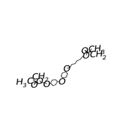 C=C(C)C(=O)OCCCCCCOC1CCC(OC2CCC(OCCOC(=O)C(=C)C)CC2)CC1